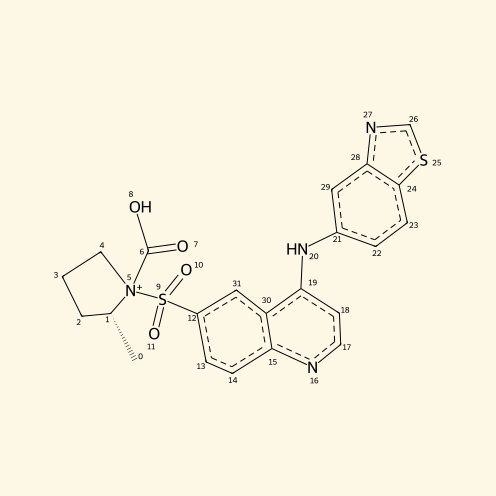 C[C@@H]1CCC[N+]1(C(=O)O)S(=O)(=O)c1ccc2nccc(Nc3ccc4scnc4c3)c2c1